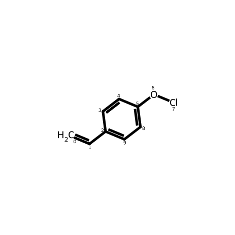 C=Cc1ccc(OCl)cc1